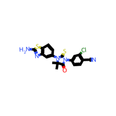 CC1(C)C(=O)N(c2ccc(C#N)c(Cl)c2)C(=S)N1c1ccc2sc(N)nc2c1